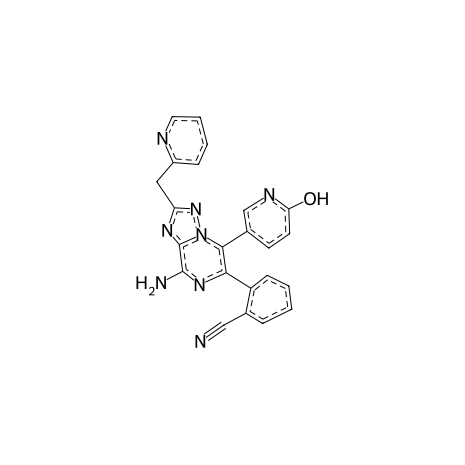 N#Cc1ccccc1-c1nc(N)c2nc(Cc3ccccn3)nn2c1-c1ccc(O)nc1